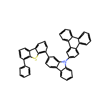 c1ccc(-c2cccc3c2sc2c(-c4ccc5c6ccccc6n(-c6ccc7c8ccccc8c8ccccc8c7c6)c5c4)cccc23)cc1